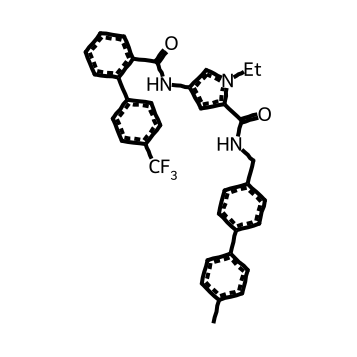 CCn1cc(NC(=O)c2ccccc2-c2ccc(C(F)(F)F)cc2)cc1C(=O)NCc1ccc(-c2ccc(C)cc2)cc1